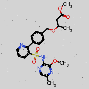 COC(=O)CC(C)OCc1ccc(-c2ncccc2S(=O)(=O)Nc2ncc(C)nc2OC)cc1